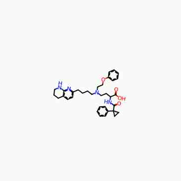 O=C(O)C(CCN(CCCCc1ccc2c(n1)NCCC2)CCOc1ccccc1)NC(=O)C1(c2ccccc2)CC1